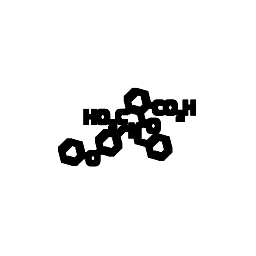 O=C(O)c1cccc(C(=O)O)c1C(=O)N(Cc1ccccc1)Cc1ccc(Oc2ccccc2)cc1